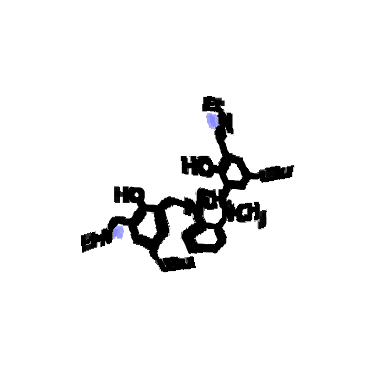 CC/N=C/c1cc(C(C)(C)C)cc(CN(C)c2ccccc2N(C)Cc2cc(C(C)(C)C)cc(/C=N/CC)c2O)c1O